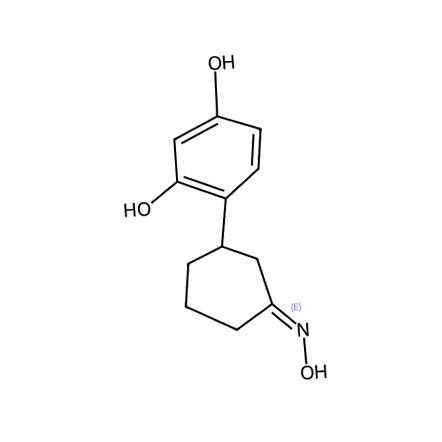 O/N=C1\CCCC(c2ccc(O)cc2O)C1